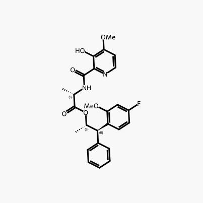 COc1cc(F)ccc1[C@@H](c1ccccc1)[C@H](C)OC(=O)[C@H](C)NC(=O)c1nccc(OC)c1O